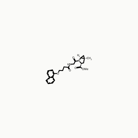 COC(=O)[C@@H]1C[C@]2(C)C[C@@H]2N1C(=O)CNC(=O)CCCOc1cccc2ccccc12